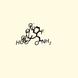 CC(C)(CC(CC(N)=O)c1cc([N+](=O)[O-])ccc1F)NS(=O)(=O)O